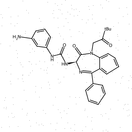 CC(C)(C)C(=O)CN1C(=O)[C@H](NC(=O)Nc2cccc(N)c2)N=C(c2ccccc2)c2ccccc21